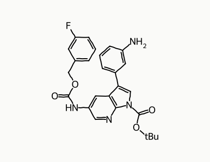 CC(C)(C)OC(=O)n1cc(-c2cccc(N)c2)c2cc(NC(=O)OCc3cccc(F)c3)cnc21